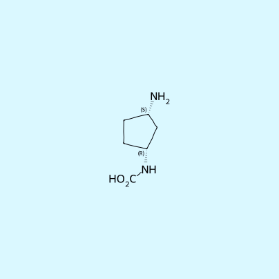 N[C@H]1CC[C@@H](NC(=O)O)C1